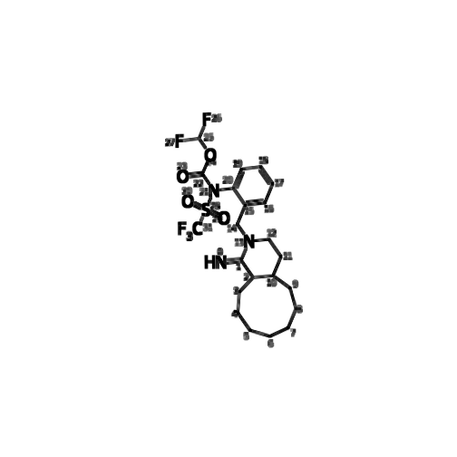 N=C1C2CCCCCCCC2CCN1Cc1ccccc1N(C(=O)OC(F)F)S(=O)(=O)C(F)(F)F